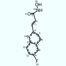 O=C(/C=C/c1ccc2cc(F)ccc2n1)NO